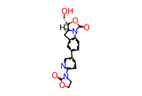 O=C1OCCN1c1ccc(-c2ccc3c(c2)C[C@H]2[C@H](CO)OC(=O)N32)cn1